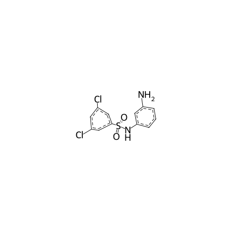 Nc1cccc(NS(=O)(=O)c2cc(Cl)cc(Cl)c2)c1